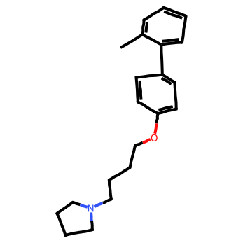 Cc1ccccc1-c1ccc(OCCCCN2CCCC2)cc1